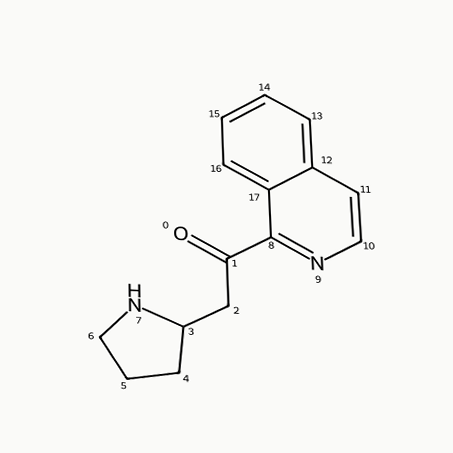 O=C(CC1CCCN1)c1nccc2ccccc12